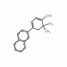 CC1(C)CC(c2ccc3ccccc3c2)=CC=C1C=O